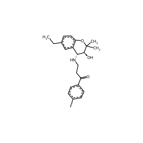 CCc1ccc2c(c1)[C@@H](NCCC(=O)c1ccc(F)cc1)[C@H](O)C(C)(C)O2